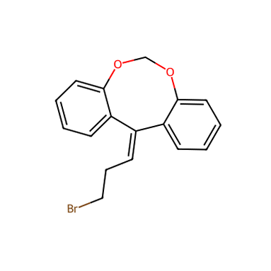 BrCCC=C1c2ccccc2OCOc2ccccc21